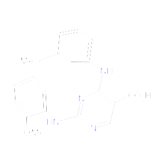 COc1cccc(Nc2nc(Nc3ccccc3OC)ncc2C(=O)O)c1